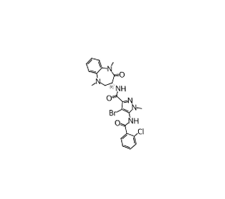 CN1C[C@@H](NC(=O)c2nn(C)c(NC(=O)c3ccccc3Cl)c2Br)C(=O)N(C)c2ccccc21